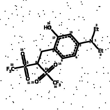 CCN(CC)c1ccc(CC(S(=O)(=O)C(F)(F)F)S(=O)(=O)C(F)(F)F)c(O)c1